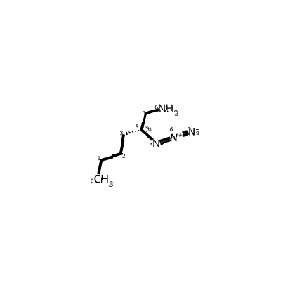 CCCC[C@H](CN)N=[N+]=[N-]